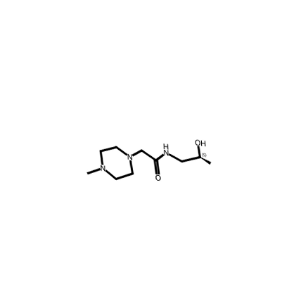 C[C@H](O)CNC(=O)CN1CCN(C)CC1